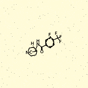 O=C(N[C@@H]1CN2CCC1CC2)c1ccc(C(F)(F)F)c(F)c1